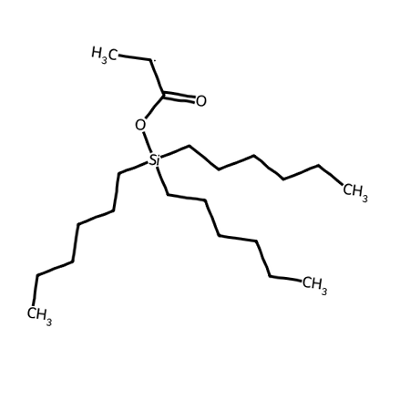 C[CH]C(=O)O[Si](CCCCCC)(CCCCCC)CCCCCC